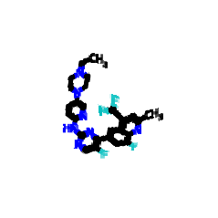 CCN1CCN(c2ccc(Nc3ncc(F)c(-c4cc(F)c5nc(C)cc(C(F)F)c5c4)n3)nc2)CC1